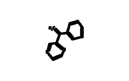 C=C(c1ccccc1)c1cnccn1